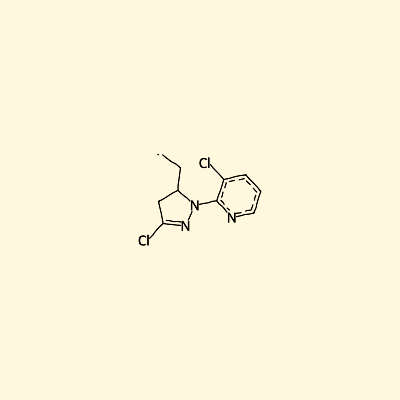 [CH2]CC1CC(Cl)=NN1c1ncccc1Cl